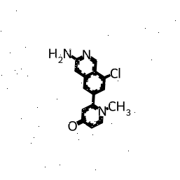 Cn1ccc(=O)cc1-c1cc(Cl)c2cnc(N)cc2c1